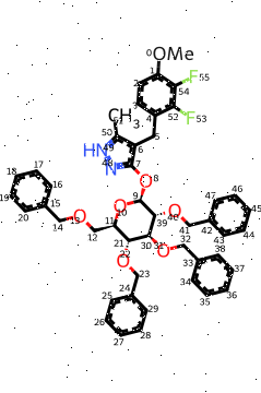 COc1ccc(Cc2c(O[C@@H]3O[C@H](COCc4ccccc4)[C@@H](OCc4ccccc4)[C@H](OCc4ccccc4)[C@H]3OCc3ccccc3)n[nH]c2C)c(F)c1F